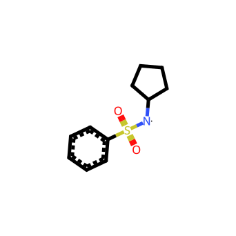 O=S(=O)([N]C1CCCC1)c1ccccc1